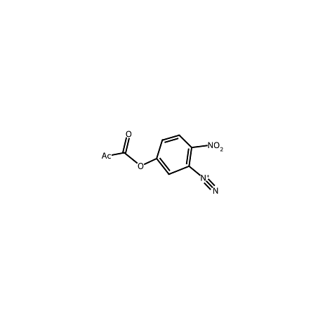 CC(=O)C(=O)Oc1ccc([N+](=O)[O-])c([N+]#N)c1